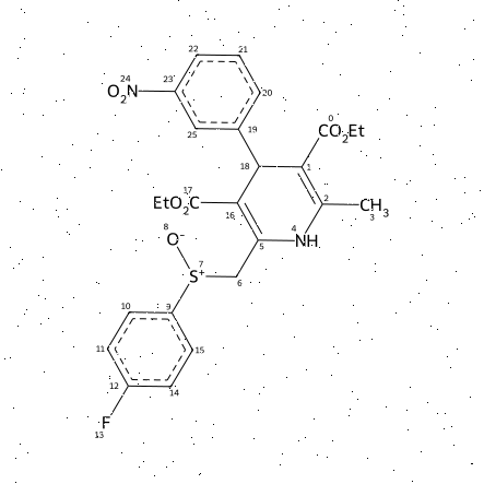 CCOC(=O)C1=C(C)NC(C[S+]([O-])c2ccc(F)cc2)=C(C(=O)OCC)C1c1cccc([N+](=O)[O-])c1